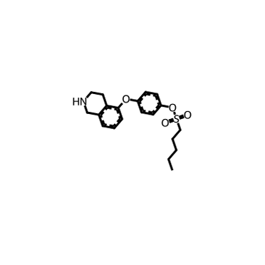 CCCCCS(=O)(=O)Oc1ccc(Oc2cccc3c2CCNC3)cc1